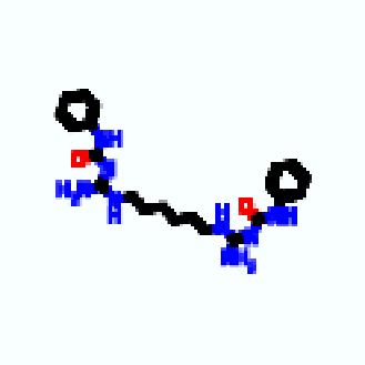 NC(=NC(=O)Nc1ccccc1)NCCCCCCNC(N)=NC(=O)Nc1ccccc1